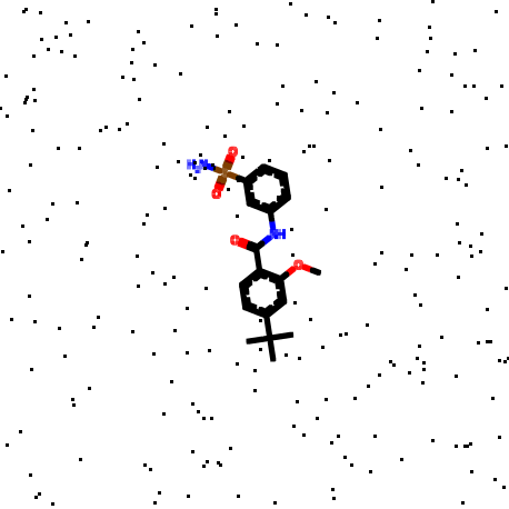 COc1cc(C(C)(C)C)ccc1C(=O)Nc1cccc(S(N)(=O)=O)c1